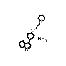 N.c1ccc2c(-c3ccc(OCCCN4CCCCC4)cc3)ccnc2c1